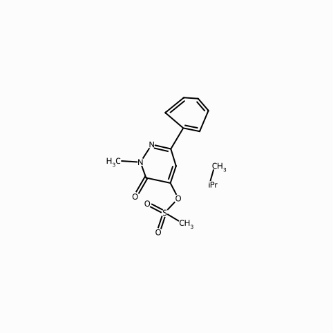 CC(C)C.Cn1nc(-c2ccccc2)cc(OS(C)(=O)=O)c1=O